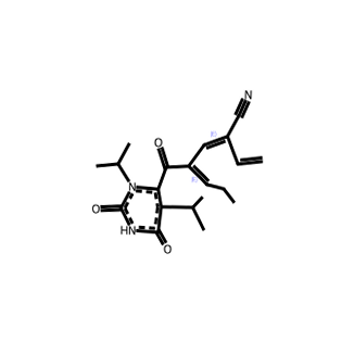 C=C/C(C#N)=C\C(=C/CC)C(=O)c1c(C(C)C)c(=O)[nH]c(=O)n1C(C)C